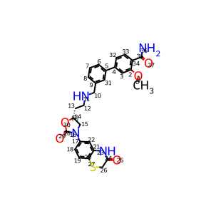 COc1cc(-c2cccc(CNCC[C@@H]3CN(c4ccc5c(c4)NC(=O)CS5)C(=O)O3)c2)ccc1C(N)=O